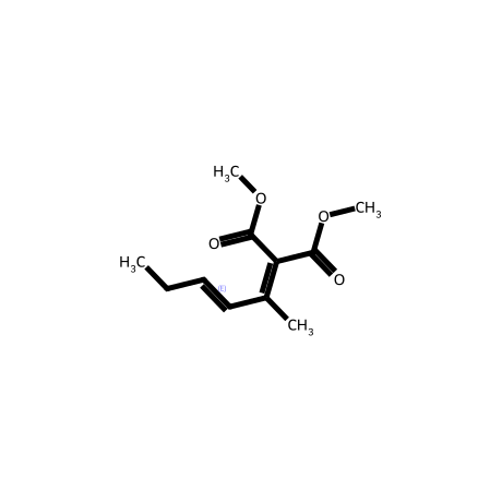 CC/C=C/C(C)=C(C(=O)OC)C(=O)OC